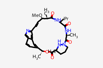 CO[C@@H]1/C=C/c2cc3cc(ccc3cn2)[C@@H](C)OC(=O)[C@@]2(C)CCCN(N2)C(=O)[C@H](C)NC(=O)C(C(C)C)NC(=O)[C@@H]1C